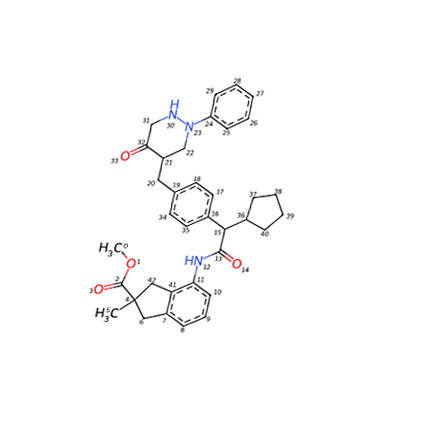 COC(=O)C1(C)Cc2cccc(NC(=O)C(c3ccc(CC4CN(c5ccccc5)NCC4=O)cc3)C3CCCC3)c2C1